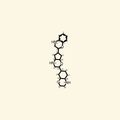 c1ccc2c(c1)NCC(C1CC3NCC(C4CCC5NCCOC5C4)OC3C1)O2